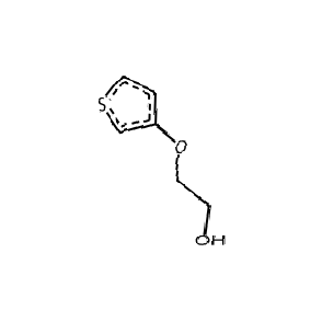 OCCOc1ccsc1